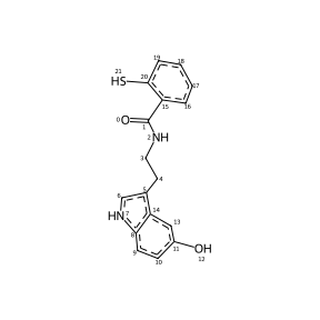 O=C(NCCc1c[nH]c2ccc(O)cc12)c1ccccc1S